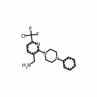 NCc1ccc(C(F)(F)Cl)nc1N1CCN(c2ccccc2)CC1